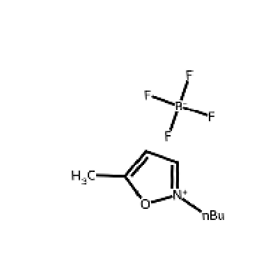 CCCC[n+]1ccc(C)o1.F[B-](F)(F)F